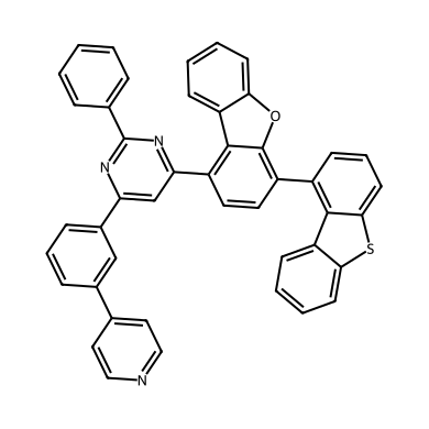 c1ccc(-c2nc(-c3cccc(-c4ccncc4)c3)cc(-c3ccc(-c4cccc5sc6ccccc6c45)c4oc5ccccc5c34)n2)cc1